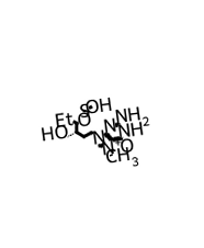 CCC(OSO)[C@@H](CO)CCn1c[n+](C)c2c(=O)[nH]c(N)nc21